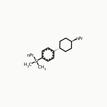 CCC[Si](C)(C)c1ccc([C@H]2CC[C@H](CCC)CC2)cc1